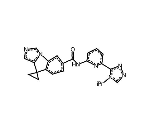 CC(C)n1cnnc1-c1cccc(NC(=O)c2ccc3c(c2)-n2cncc2C32CC2)n1